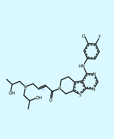 CC(O)CN(C/C=C/C(=O)N1CCc2c(sc3ncnc(Nc4ccc(F)c(Cl)c4)c23)C1)CC(C)O